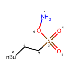 CCCCCCS(=O)(=O)ON